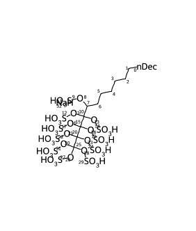 CCCCCCCCCCCCCCCCC(OS(=O)(=O)O)C(OS(=O)(=O)O)(OS(=O)(=O)O)C(OS(=O)(=O)O)(OS(=O)(=O)O)C(OS(=O)(=O)O)(OS(=O)(=O)O)C(OS(=O)(=O)O)(OS(=O)(=O)O)OS(=O)(=O)O.[NaH]